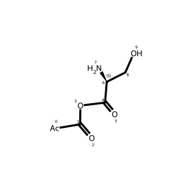 CC(=O)C(=O)OC(=O)[C@@H](N)CO